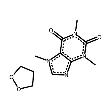 C1COOC1.Cn1c(=O)c2c(ncn2C)n(C)c1=O